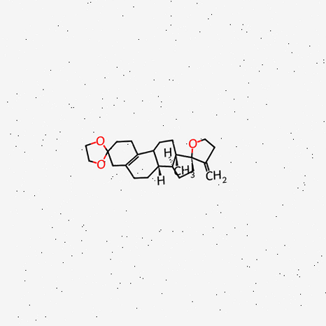 C=C1CCO[C@]12CC[C@H]1[C@@H]3CCC4=C(CCC5(C4)OCCO5)C3CC[C@@]12C